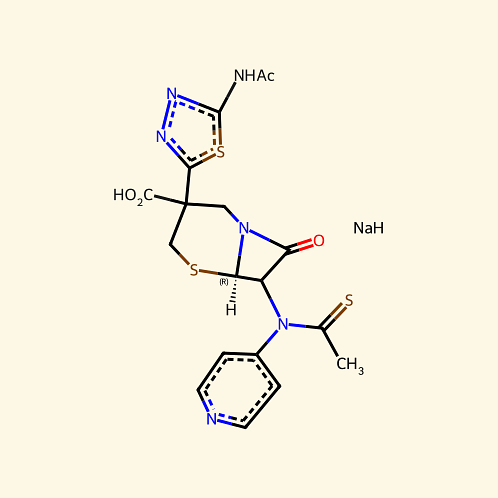 CC(=O)Nc1nnc(C2(C(=O)O)CS[C@@H]3C(N(C(C)=S)c4ccncc4)C(=O)N3C2)s1.[NaH]